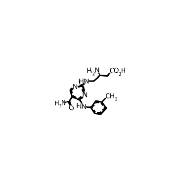 Cc1cccc(Nc2nc(NC[C@@H](N)CC(=O)O)ncc2C(N)=O)c1